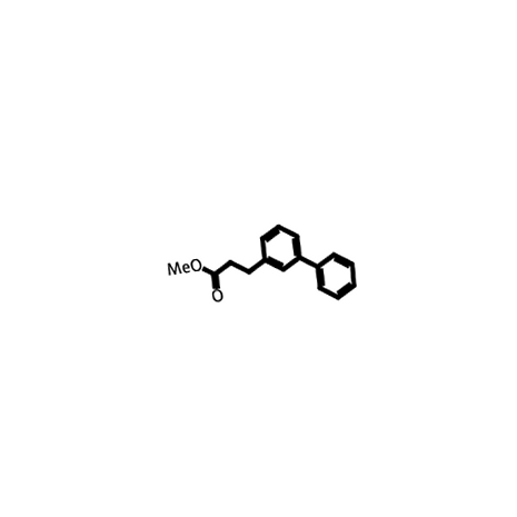 COC(=O)CCc1cccc(-c2ccccc2)c1